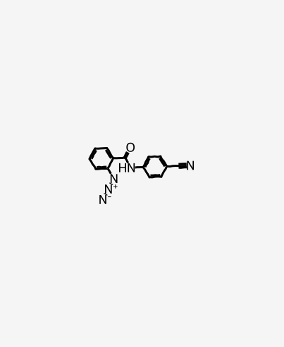 N#Cc1ccc(NC(=O)c2ccccc2N=[N+]=[N-])cc1